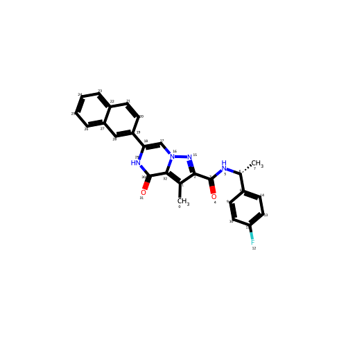 Cc1c(C(=O)N[C@H](C)c2ccc(F)cc2)nn2cc(-c3ccc4ccccc4c3)[nH]c(=O)c12